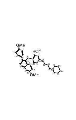 COc1ccc(-c2ccc3cc(OC)ccc3c2Cc2ccc(OCCCN3CCCCC3)cc2)cc1.Cl